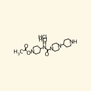 CC(=O)ON1CCC(NC(=O)N2CCN(C3CCNCC3)CC2)CC1.Cl.Cl